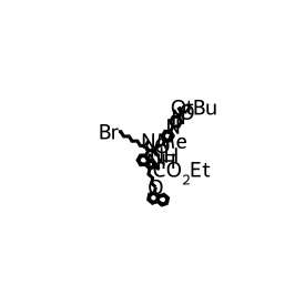 CCOC(=O)c1[nH]c2c(/C(C(=N)COc3ccc(N4CCN(C(=O)OC(C)(C)C)CC4)cc3)=C(\CCCCCCBr)NC)cccc2c1CCCOc1cccc2ccccc12